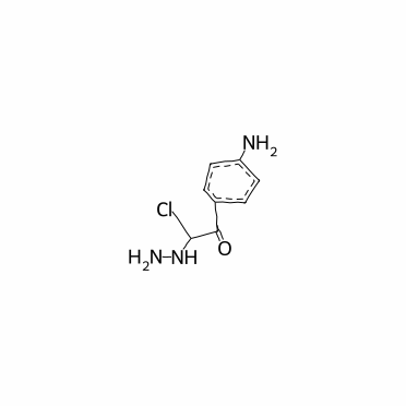 NNC(Cl)C(=O)c1ccc(N)cc1